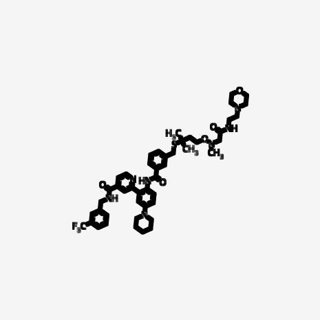 CN(CC(=O)NCCN1CCOCC1)OCCC(C)(C)SCc1cccc(C(=O)Nc2ccc(N3CCCCC3)cc2-c2cc(C(=O)NCc3cccc(C(F)(F)F)c3)ccn2)c1